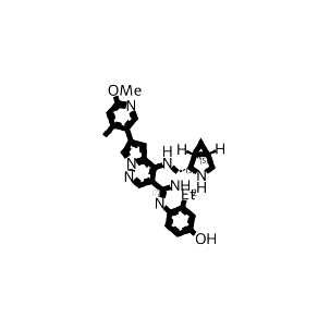 CCc1cc(O)ccc1/N=C(\N)c1cnn2cc(-c3cnc(OC)cc3C)cc2c1NC[C@H]1NC[C@H]2C[C@H]21